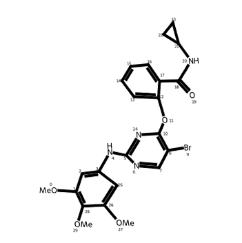 COc1cc(Nc2ncc(Br)c(Oc3ccccc3C(=O)NC3CC3)n2)cc(OC)c1OC